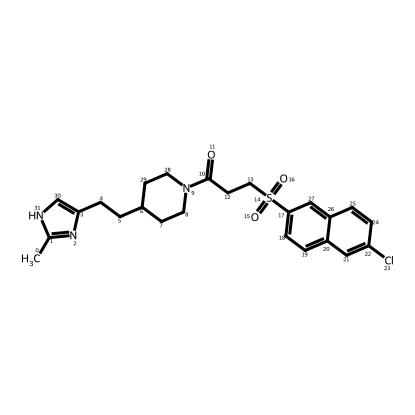 Cc1nc(CCC2CCN(C(=O)CCS(=O)(=O)c3ccc4cc(Cl)ccc4c3)CC2)c[nH]1